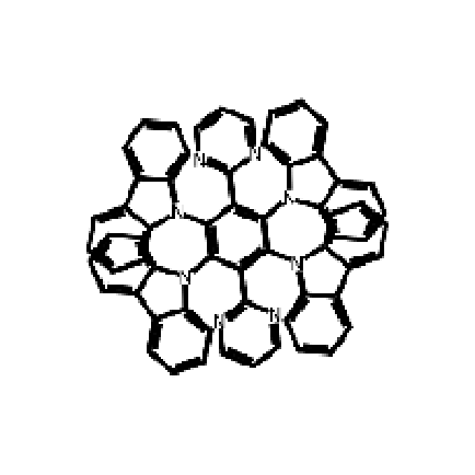 c1cnc(-c2c(-n3c4ccccc4c4ccccc43)c(-n3c4ccccc4c4ccccc43)c(-c3ncccn3)c(-n3c4ccccc4c4ccccc43)c2-n2c3ccccc3c3ccccc32)nc1